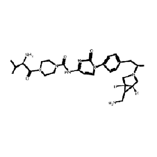 CC(C)[C@@H](N)C(=O)N1CCN(C(=O)Nc2ccn(-c3ccc(CC(C)N4C[C@@H]5C(CN)[C@@H]5C4)cc3)c(=O)n2)CC1